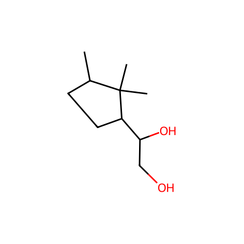 CC1CCC(C(O)CO)C1(C)C